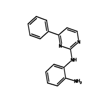 Nc1ccccc1Nc1nccc(-c2ccccc2)n1